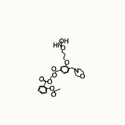 CC(=O)Oc1ccccc1C(=O)OCOC(=O)c1ccc(CN2CCOCC2)c(OCCCONO)c1